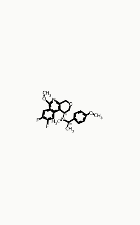 COc1ccc([C@@H](C)N(C)[C@@H]2COCc3nc(OC)c4cc(F)c(F)cc4c32)cc1